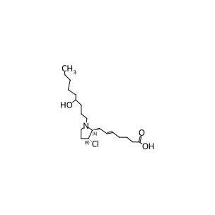 CCCCCC(O)CCCN1CC[C@@H](Cl)[C@@H]1CC=CCCCC(=O)O